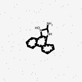 NC1Nc2c(c3ccccc3c3ccccc23)N1O